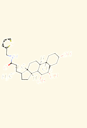 C[C@H](CC(=O)NCc1cccs1)C1CC[C@H]2C3[C@H](O)[C@H](O)C4C[C@H](O)CCC4(C)[C@H]3CCC12C